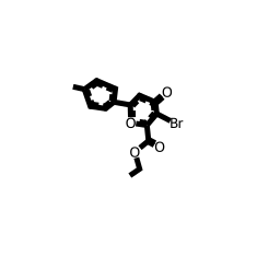 CCOC(=O)c1oc(-c2ccc(C)cc2)cc(=O)c1Br